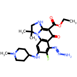 CCOC(=O)c1c2n(c3cc(NC4CCN(C)CC4)c(F)c(N=NN)c3c1=O)C(C)(C)CN2